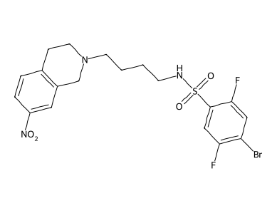 O=[N+]([O-])c1ccc2c(c1)CN(CCCCNS(=O)(=O)c1cc(F)c(Br)cc1F)CC2